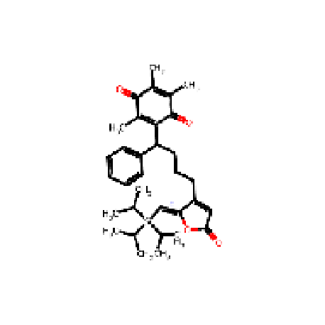 CC1=C(C)C(=O)C(C(CCCC2=CC(=O)O/C2=C\[Si](C(C)C)(C(C)C)C(C)C)c2ccccc2)=C(C)C1=O